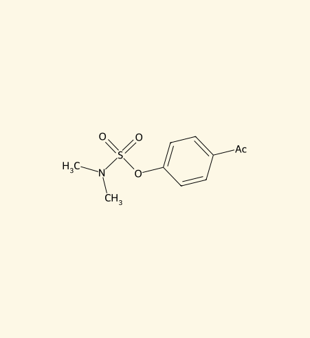 CC(=O)c1ccc(OS(=O)(=O)N(C)C)cc1